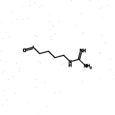 N=C(N)NCCCC[C]=O